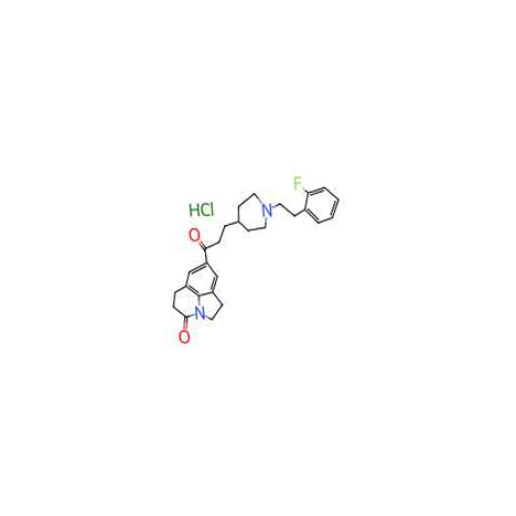 Cl.O=C(CCC1CCN(CCc2ccccc2F)CC1)c1cc2c3c(c1)CCN3C(=O)CC2